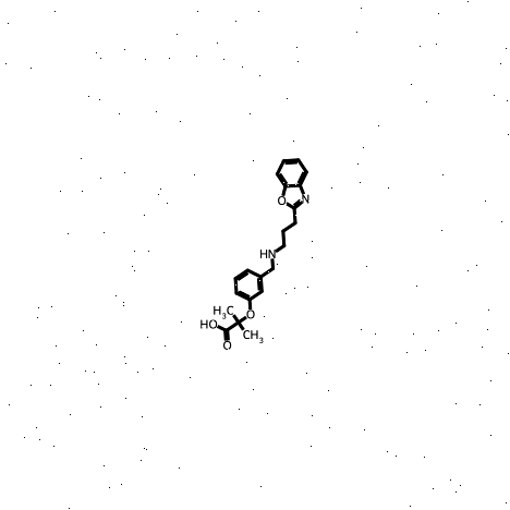 CC(C)(Oc1cccc(CNCCCc2nc3ccccc3o2)c1)C(=O)O